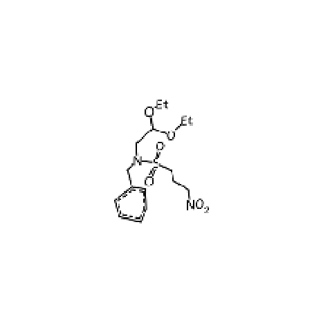 CCOC(CN(Cc1ccccc1)S(=O)(=O)CCC[N+](=O)[O-])OCC